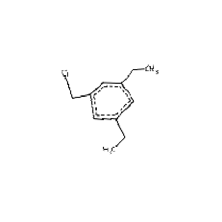 CCc1cc(CC)cc(CCl)c1